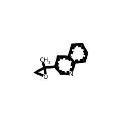 CC1(c2cnc3ccccc3c2)CO1